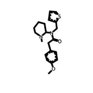 COc1ccc(CC(=O)N(Cc2cccs2)C2CCCCN2C)cc1